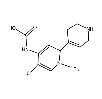 CN1C=C(Cl)C(NC(=O)O)=CC1C1=CCNCC1